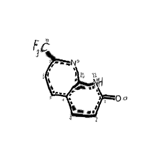 O=c1ccc2ccc(C(F)(F)F)nc2[nH]1